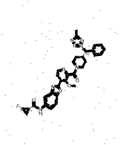 COc1c(-c2nc3cc(NC(=O)[C@@H]4C[C@@H]4F)ccc3o2)ccnc1C(=O)N1CCC([C@@H](c2ccccc2)n2nnc(C)n2)CC1